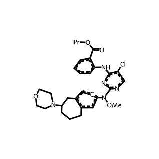 CON(c1ccc2c(c1)CCCC(N1CCOCC1)C2)c1ncc(Cl)c(Nc2ccccc2C(=O)OC(C)C)n1